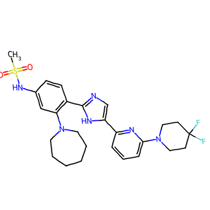 CS(=O)(=O)Nc1ccc(-c2ncc(-c3cccc(N4CCC(F)(F)CC4)n3)[nH]2)c(N2CCCCCC2)c1